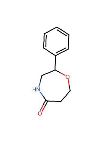 O=C1CCOC(c2ccccc2)CN1